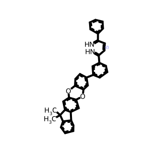 CC1(C)c2ccccc2-c2cc3c(cc21)Oc1ccc(-c2cccc(C(=N)/C=C\C(=N)c4ccccc4)c2)cc1O3